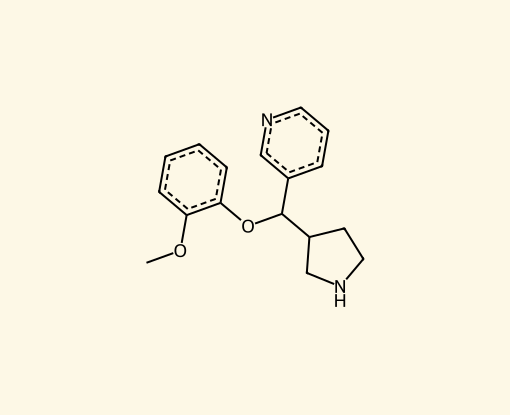 COc1ccccc1OC(c1cccnc1)C1CCNC1